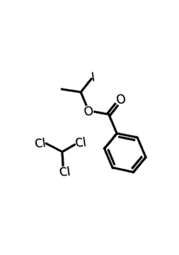 CC(I)OC(=O)c1ccccc1.ClC(Cl)Cl